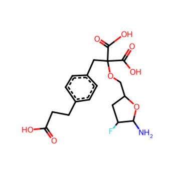 NC1OC(COC(Cc2ccc(CCC(=O)O)cc2)(C(=O)O)C(=O)O)CC1F